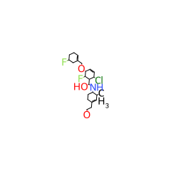 CC1C=C(CC=O)CCC1NC(O)C1C(Cl)C=CC(OCC2=CCCC(F)C2)C1F